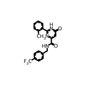 Cc1ccccc1-c1nc(C(=O)NCc2ccc(C(F)(F)F)cc2)cc(=O)[nH]1